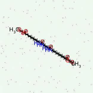 COCCOC(=O)CCCCCCCCCCNC(=O)NCCCNC(=O)NCCCCCCCCCCC(=O)OCCOC